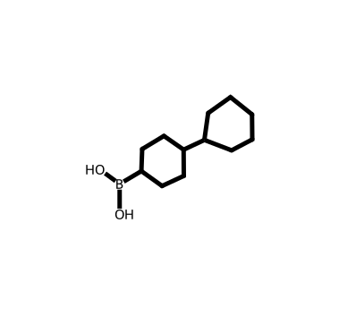 OB(O)C1CCC(C2CCCCC2)CC1